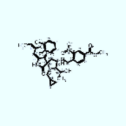 C=C1/C(=C\C(Cl)=C/C)NC(=O)[C@@]12[C@H](c1cccc(Cl)c1F)[C@H](NCc1ccc(C(=O)OC)cc1[N+](=O)[O-])C([C@H](C)O)N2CC1CC1